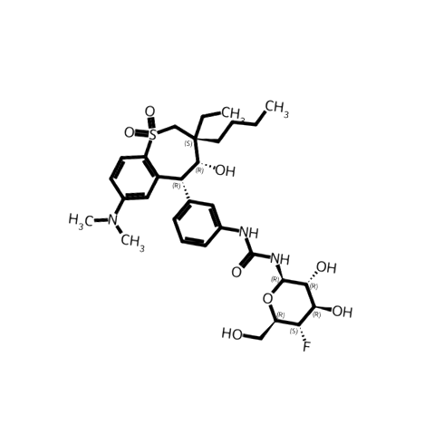 CCCC[C@]1(CC)CS(=O)(=O)c2ccc(N(C)C)cc2[C@@H](c2cccc(NC(=O)N[C@@H]3O[C@H](CO)[C@@H](F)[C@H](O)[C@H]3O)c2)[C@H]1O